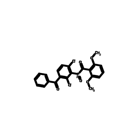 COc1cccc(OC)c1C(=O)[PH](=O)c1c(Cl)ccc(C(=O)c2ccccc2)c1Cl